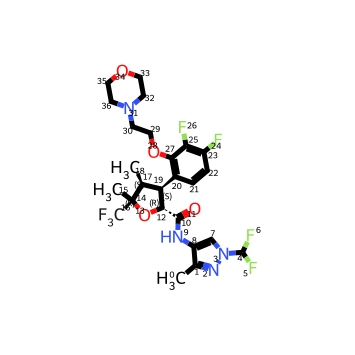 Cc1nn(C(F)F)cc1NC(=O)[C@@H]1O[C@@](C)(C(F)(F)F)[C@@H](C)[C@H]1c1ccc(F)c(F)c1OCCN1CCOCC1